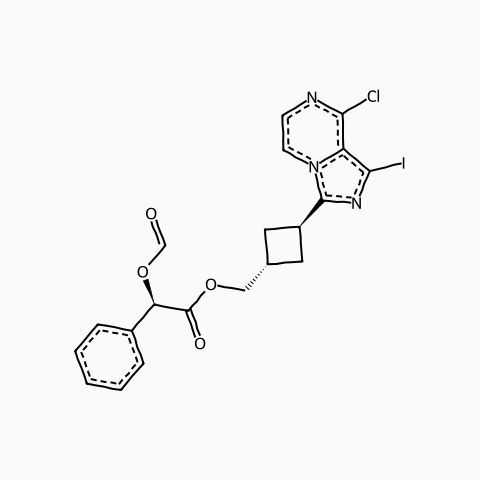 O=CO[C@@H](C(=O)OC[C@H]1C[C@H](c2nc(I)c3c(Cl)nccn32)C1)c1ccccc1